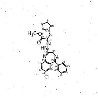 COC(=O)/C(CN1CCCC1)=N\NC1=Nc2ccc(Cl)cc2C(c2ccccc2)=NC1